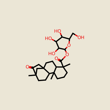 CC12CCC3C(CCC4C(C)(C(=O)OC5OC(CO)C(O)C(O)C5O)CCCC34C)(CC1=O)C2